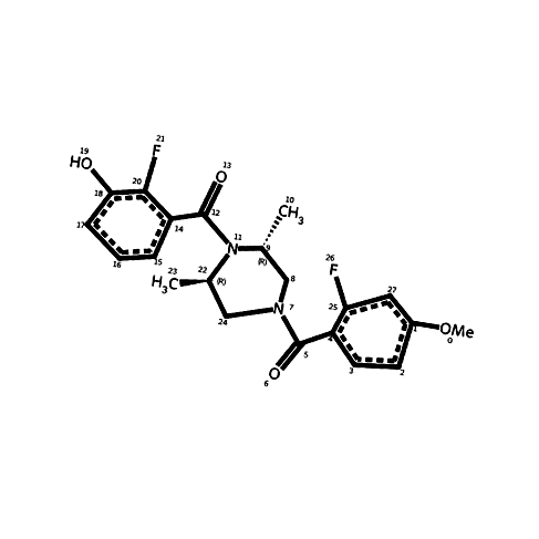 COc1ccc(C(=O)N2C[C@@H](C)N(C(=O)c3cccc(O)c3F)[C@H](C)C2)c(F)c1